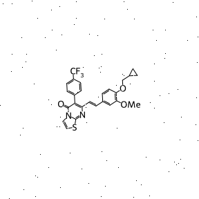 COc1cc(/C=C/c2nc3sccn3c(=O)c2-c2ccc(C(F)(F)F)cc2)ccc1OCC1CC1